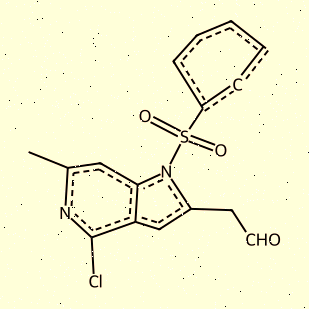 Cc1cc2c(cc(CC=O)n2S(=O)(=O)c2ccccc2)c(Cl)n1